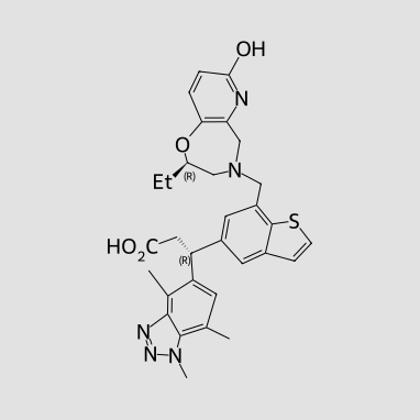 CC[C@@H]1CN(Cc2cc([C@@H](CC(=O)O)c3cc(C)c4c(nnn4C)c3C)cc3ccsc23)Cc2nc(O)ccc2O1